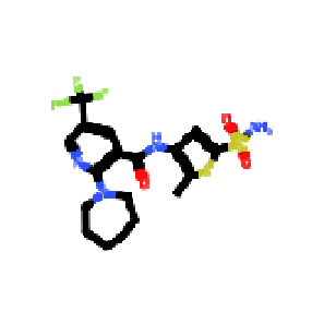 Cc1sc(S(N)(=O)=O)cc1NC(=O)c1cc(C(F)(F)F)cnc1N1CCCCCC1